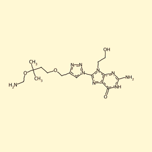 CC(C)(CCOCc1cn(-c2nc3c(=O)[nH]c(N)nc3n2CCO)nn1)OCN